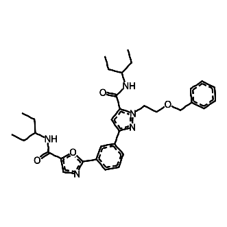 CCC(CC)NC(=O)c1cnc(-c2cccc(-c3cc(C(=O)NC(CC)CC)n(CCOCc4ccccc4)n3)c2)o1